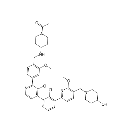 COc1cc(-c2nccc(-c3cccc(-c4ccc(CN5CCC(O)CC5)c(OC)n4)c3Cl)c2Cl)ccc1CNC1CCN(C(C)=O)CC1